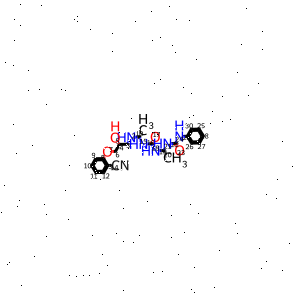 CC(NCC(O)COc1ccccc1C#N)NC(=O)NC(C)NC(=O)Nc1ccccc1